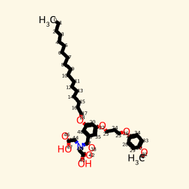 CCCCCCCCCCCCCCCCCCOc1cc(OCCCOc2ccc(OC)cc2)cc(C(=O)N(CC(=O)O)CC(=O)O)c1